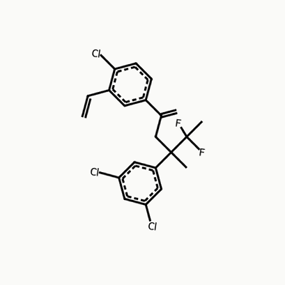 C=Cc1cc(C(=C)CC(C)(c2cc(Cl)cc(Cl)c2)C(C)(F)F)ccc1Cl